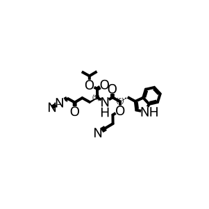 CC(C)OC(=O)[C@H](CCC(=O)C=[N+]=[N-])NC(=O)[C@H](Cc1c[nH]c2ccccc12)OCCC#N